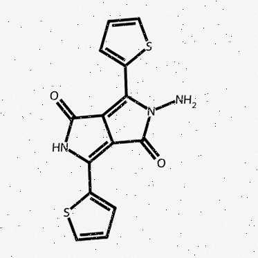 NN1C(=O)C2=C(c3cccs3)NC(=O)C2=C1c1cccs1